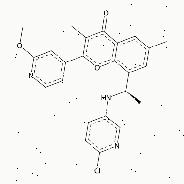 COc1cc(-c2oc3c([C@@H](C)Nc4ccc(Cl)nc4)cc(C)cc3c(=O)c2C)ccn1